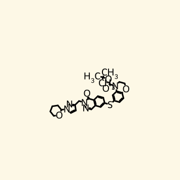 CC(C)(C)OC(=O)N1CCOc2ccc(Sc3ccc4c(=O)n(Cc5ccn(C6CCCCO6)n5)ncc4c3)cc21